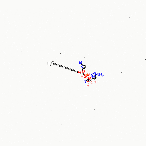 CCCCCCCCCCCCCCCCCCOC[C@H](COP(=O)(O)OC[C@@]1(C#N)O[C@@H](c2ccc3c(N)ncnn23)[C@H](O)[C@@H]1O)OCc1cccc(C#N)n1